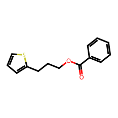 O=C(OCCCc1cccs1)c1ccccc1